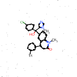 CCc1cccc(-c2cc(=O)n(C)c3ccc(C(O)(c4ccc(Cl)cc4)c4cncn4C)cc23)c1